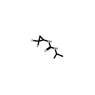 CC(C)NC(=O)NC1CC1(F)F